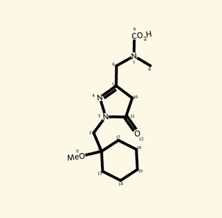 COC1(CN2N=C(CN(C)C(=O)O)CC2=O)CCCCC1